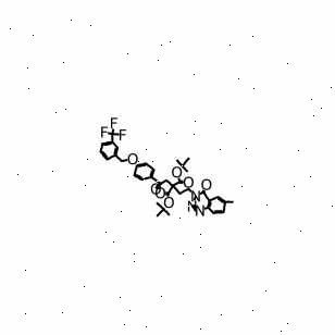 Cc1ccc2nnn(CCC(CC(=O)c3ccc(OCc4cccc(C(F)(F)F)c4)cc3)(C(=O)OC(C)(C)C)C(=O)OC(C)(C)C)c(=O)c2c1